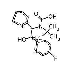 CC(C)(C)N(C(=O)O)C(c1ccccn1)C(O)c1ccc(F)cn1